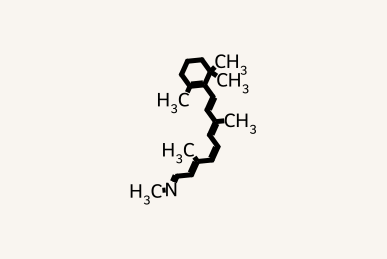 CN=C/C=C(C)/C=C\C=C(C)\C=C\C1=C(C)CCCC1(C)C